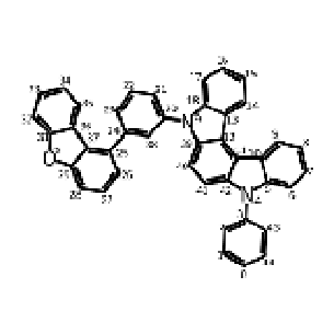 c1ccc(-n2c3ccccc3c3c4c5ccccc5n(-c5cccc(-c6cccc7oc8ccccc8c67)c5)c4ccc32)cc1